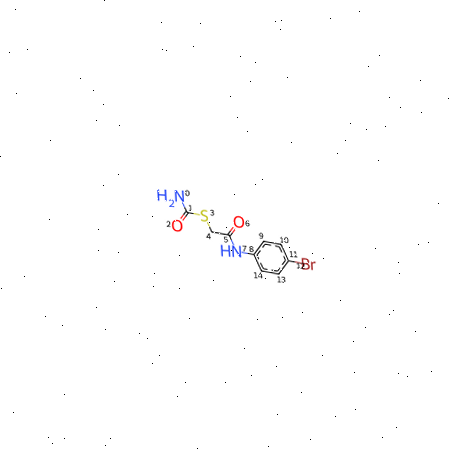 NC(=O)SCC(=O)Nc1ccc(Br)cc1